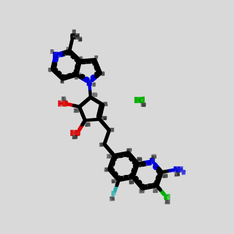 Cc1nccc2c1ccn2C1C=C(CCc2cc(F)c3cc(Cl)c(N)nc3c2)C(O)C1O.Cl